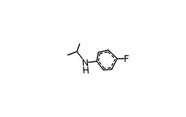 CC(C)Nc1ccc(F)cc1